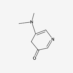 CN(C)C1=CN=CC(=O)C1